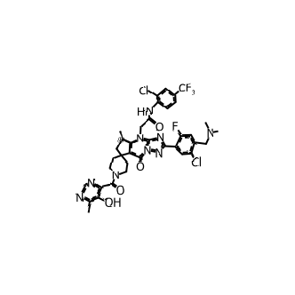 Cc1ncnc(C(=O)N2CCC3(CC2)C[C@@H](C)c2c3c(=O)n3nc(-c4cc(Cl)c(CN(C)C)cc4F)nc3n2CC(=O)Nc2ccc(C(F)(F)F)cc2Cl)c1O